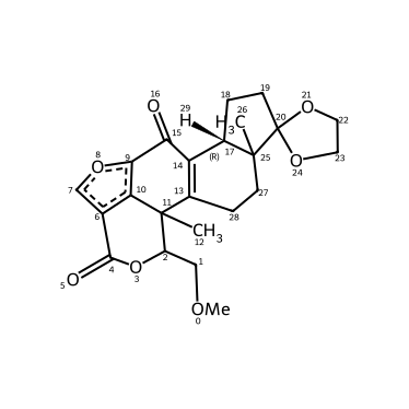 COCC1OC(=O)c2coc3c2C1(C)C1=C(C3=O)[C@@H]2CCC3(OCCO3)C2(C)CC1